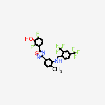 Cc1ccc(-c2noc(-c3ccc(F)c(O)c3F)n2)cc1NCc1ccc(C(F)(F)F)cc1C(F)(F)F